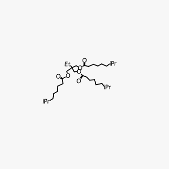 CCC(COC(=O)CCCCCC(C)C)(COC(=O)CCCCCC(C)C)COC(=O)CCCCCC(C)C